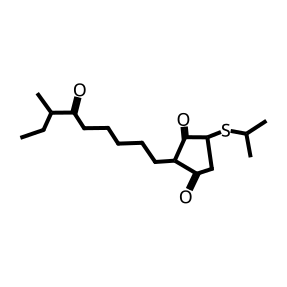 CCC(C)C(=O)CCCCCC1C(=O)CC(SC(C)C)C1=O